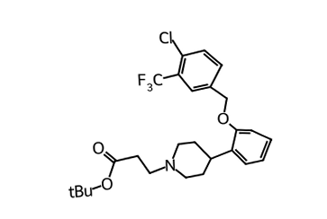 CC(C)(C)OC(=O)CCN1CCC(c2ccccc2OCc2ccc(Cl)c(C(F)(F)F)c2)CC1